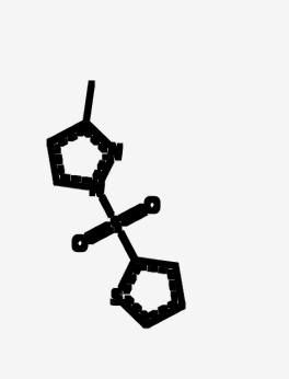 Cc1ccn(S(=O)(=O)c2cccs2)n1